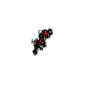 CC1(C)CCC(CN2CCN(c3cccc(C(=O)NS(=O)(=O)c4cnc(OCC5CCOCC5)c(C#N)c4)c3Oc3ccc4[nH]ccc4c3)CC2)=C(c2ccc(Cl)cc2)C1